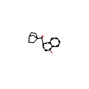 O=C(c1ccc(O)c2ccccc12)C12CCC(CC1)C2